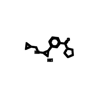 Cl.O=C(c1cccc(C2CC2NCC2CC2)c1)N1CCCC1